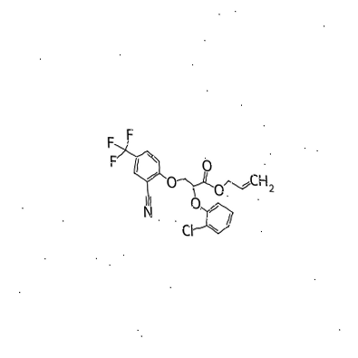 C=CCOC(=O)C(COc1ccc(C(F)(F)F)cc1C#N)Oc1ccccc1Cl